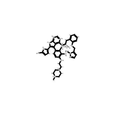 CCn1nccc1COc1ccccc1C[C@@H](Nc1ncnc2sc(-c3ccc(F)o3)c(-c3ccc(OCCN4CCN(C)CC4)c(Cl)c3C)c12)C(=O)O